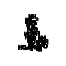 Nc1nc2c(ncn2[C@@H]2S[C@H](CO)C[C@H]2OP(=O)(S)OC2[C@H]3O[C@@H](n4ccc5c(N)ncnc54)[C@@H](F)[C@@]23O)c(=O)[nH]1